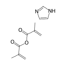 C=C(C)C(=O)OC(=O)C(=C)C.c1c[nH]cn1